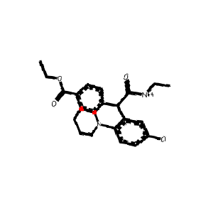 CCNC(=O)C(c1ccc(C(=O)OCC)cc1)c1cc(Cl)ccc1N1CCCCC1